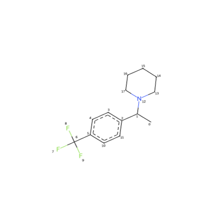 CC(c1ccc(C(F)(F)F)cc1)N1CCCCC1